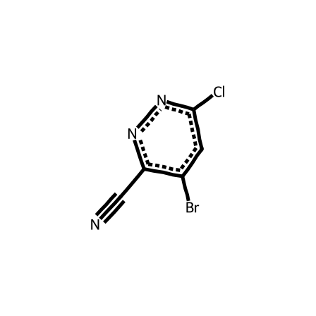 N#Cc1nnc(Cl)cc1Br